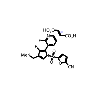 CNCc1cn(S(=O)(=O)c2ccc(C#N)o2)c(-c2cccnc2F)c1F.O=C(O)/C=C/C(=O)O